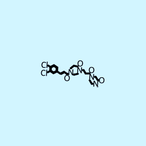 CN1CCN(C(=O)CCN2CCN(C(=O)C=Cc3ccc(Cl)c(Cl)c3)CCC2=O)CC1=O